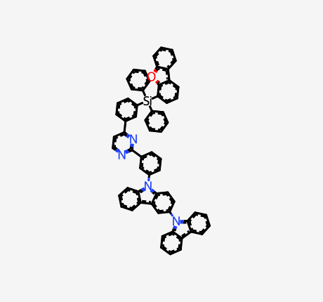 c1ccc([Si](c2ccccc2)(c2cccc(-c3ccnc(-c4cccc(-n5c6ccccc6c6cc(-n7c8ccccc8c8ccccc87)ccc65)c4)n3)c2)c2cccc3c2oc2ccccc23)cc1